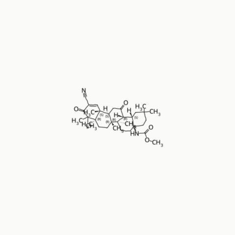 COC(=O)N[C@]12CCC(C)(C)C[C@H]1[C@H]1C(=O)C[C@@H]3[C@@]4(C)C=C(C#N)C(=O)C(C)(C)[C@]4(C)CC[C@@]3(C)[C@]1(C)CC2